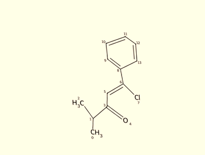 CC(C)C(=O)C=C(Cl)c1ccccc1